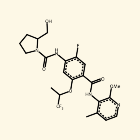 COc1nccc(C)c1NC(=O)c1cc(F)c(NC(=O)N2CCCC2CO)cc1OC(C)C(F)(F)F